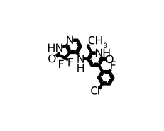 CCc1[nH]c(=O)c(-c2cc(Cl)ccc2F)cc1Nc1ccnc2c1C(F)(F)C(=O)N2